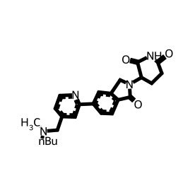 CCCCN(C)Cc1ccnc(-c2ccc3c(c2)CN(C2CCC(=O)NC2=O)C3=O)c1